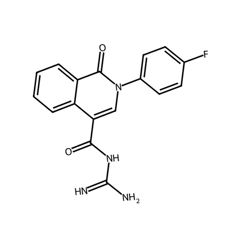 N=C(N)NC(=O)c1cn(-c2ccc(F)cc2)c(=O)c2ccccc12